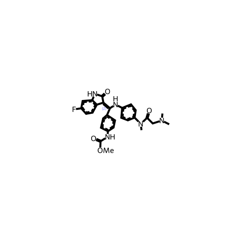 COC(=O)Nc1ccc(/C(Nc2ccc(N(C)C(=O)CN(C)C)cc2)=C2/C(=O)Nc3cc(F)ccc32)cc1